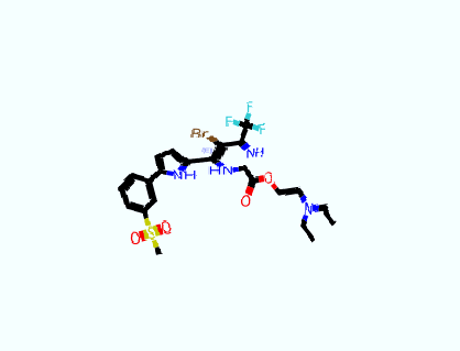 CCN(CC)CCOC(=O)CN/C(=C(/Br)C(=N)C(F)(F)F)c1ccc(-c2cccc(S(C)(=O)=O)c2)[nH]1